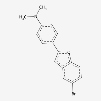 CN(C)c1ccc(-c2cc3cc(Br)ccc3o2)cc1